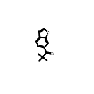 CC(C)(C)C(=O)c1ccc2ccoc2c1